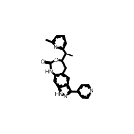 Cc1cccc([C@@H](C)C2Cc3cc4c(-c5ccncc5)n[nH]c4cc3NC(=O)O2)n1